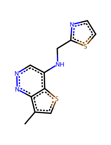 Cc1csc2c(NCc3nccs3)cnnc12